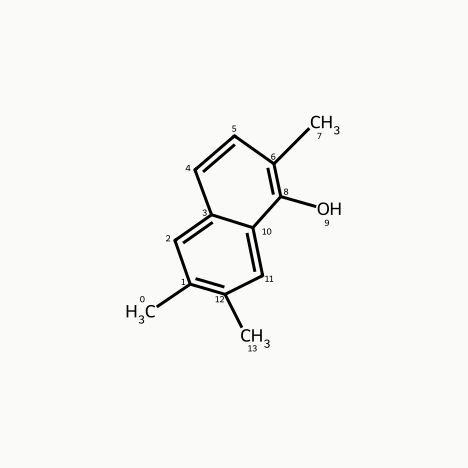 Cc1cc2ccc(C)c(O)c2cc1C